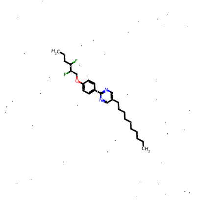 CCCCCCCCCCc1cnc(-c2ccc(OCC(F)C(F)CCC)cc2)nc1